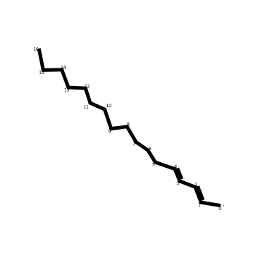 [CH2]/C=C/C=C/CCCCCCCCCCCC